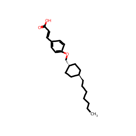 CCCCCCC[C@H]1CC[C@H](COc2ccc(/C=C/C(=O)O)cc2)CC1